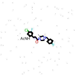 CC(=O)Nc1cc(Cl)c(F)cc1/C=C/C(=O)N1CCN(Cc2ccc(F)cc2)C[C@H]1C